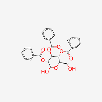 O=C(O[C@@H]1[C@@H](OC(=O)c2ccccc2)[C@H](O)O[C@H]([CH]O)[C@H]1OC(=O)c1ccccc1)c1ccccc1